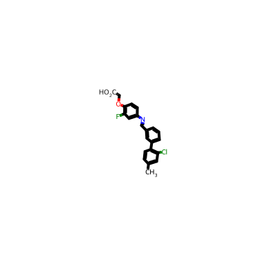 Cc1ccc(-c2cccc(C=Nc3ccc(OCC(=O)O)c(F)c3)c2)c(Cl)c1